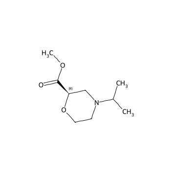 COC(=O)[C@H]1CN(C(C)C)CCO1